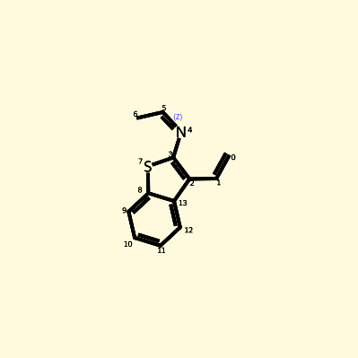 C=Cc1c(/N=C\C)sc2ccccc12